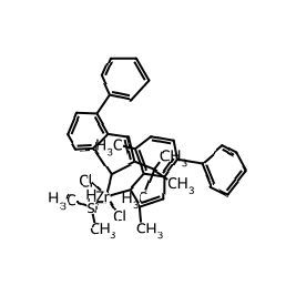 CC1=Cc2c(-c3ccccc3)ccc(C)c2[CH]1[Zr]([Cl])([Cl])([CH]1C(C(C)(C)C)=Cc2c(-c3ccccc3)cccc21)[SiH](C)C